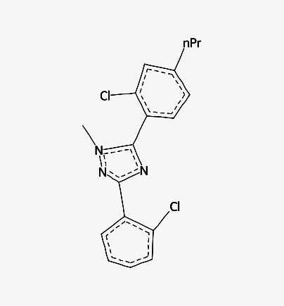 CCCc1ccc(-c2nc(-c3ccccc3Cl)nn2C)c(Cl)c1